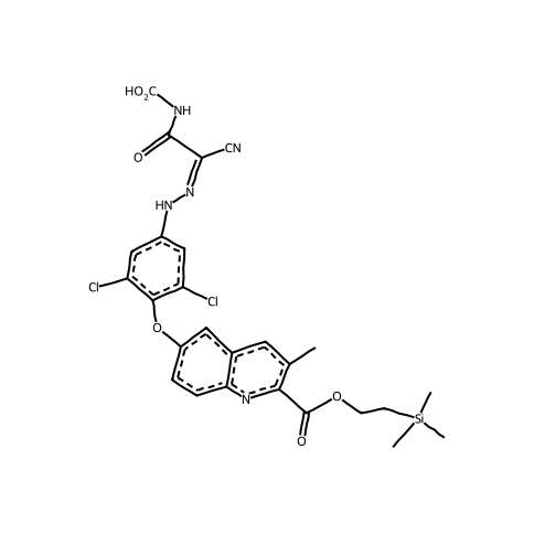 Cc1cc2cc(Oc3c(Cl)cc(NN=C(C#N)C(=O)NC(=O)O)cc3Cl)ccc2nc1C(=O)OCC[Si](C)(C)C